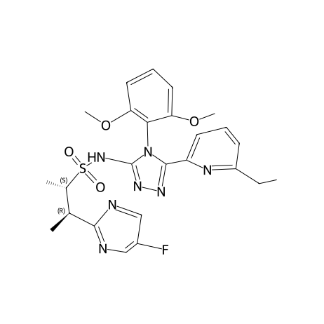 CCc1cccc(-c2nnc(NS(=O)(=O)[C@@H](C)[C@H](C)c3ncc(F)cn3)n2-c2c(OC)cccc2OC)n1